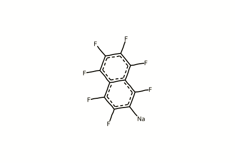 Fc1c(F)c(F)c2c(F)[c]([Na])c(F)c(F)c2c1F